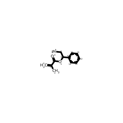 C=C(C)C(=O)OC(CC(C)C)c1ccccc1